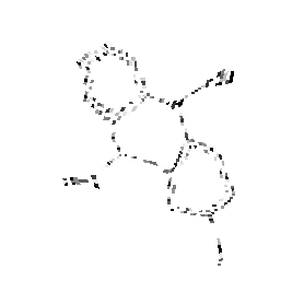 CCCCN1c2ccccc2C(C=O)c2cc(Cl)ccc21